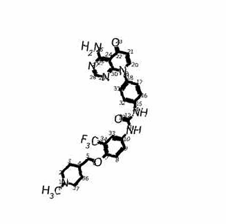 CN1CCC(COc2ccc(NC(=O)Nc3ccc(-n4ccc(=O)c5c(N)ncnc54)cc3)cc2C(F)(F)F)CC1